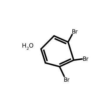 Brc1cccc(Br)c1Br.O